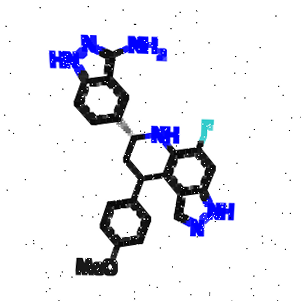 COc1ccc(C2C[C@H](c3ccc4[nH]nc(N)c4c3)Nc3c(F)cc4[nH]ncc4c32)cc1